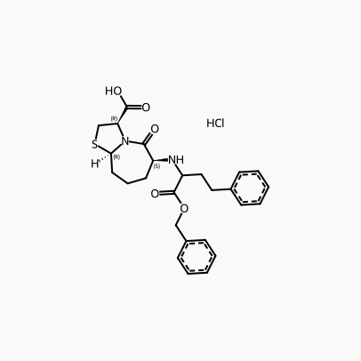 Cl.O=C(OCc1ccccc1)C(CCc1ccccc1)N[C@H]1CCC[C@H]2SC[C@@H](C(=O)O)N2C1=O